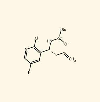 C=CC[C@@H](N[S@+]([O-])C(C)(C)C)c1cc(F)cnc1Cl